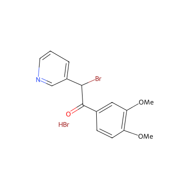 Br.COc1ccc(C(=O)C(Br)c2cccnc2)cc1OC